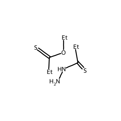 CCC(=S)NN.CCOC(=S)CC